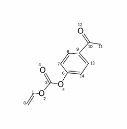 C=COC(=O)Oc1ccc(C(C)=O)cc1